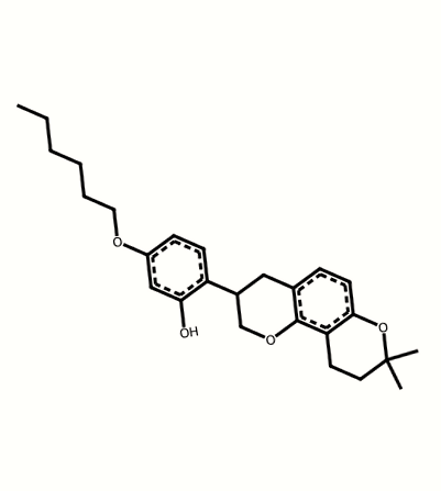 CCCCCCOc1ccc(C2COc3c(ccc4c3CCC(C)(C)O4)C2)c(O)c1